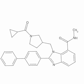 CNC(=O)c1cccc2nc(-c3ccc(-c4ccccc4)cc3)n(CC3CCN(C(=O)C4CC4)C3)c12